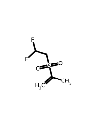 C=C(C)S(=O)(=O)CC(F)F